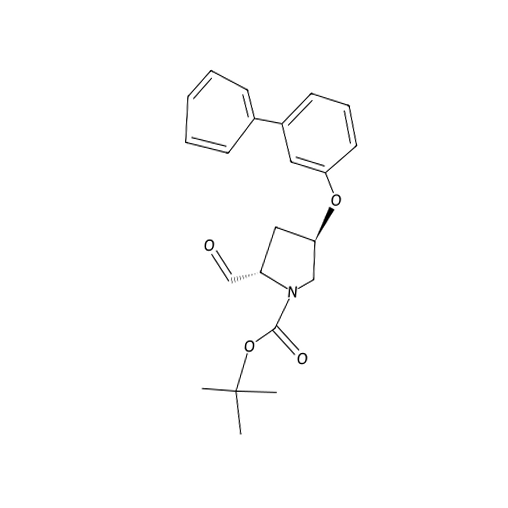 CC(C)(C)OC(=O)N1C[C@H](Oc2cccc(-c3ccccc3)c2)C[C@H]1C=O